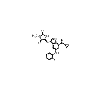 CN1C(=O)N/C(=C\c2cnn3c(NC4CC4)cc(Nc4ccccc4F)nc23)C1=O